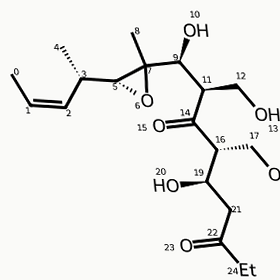 C/C=C\[C@H](C)[C@H]1OC1(C)[C@@H](O)[C@@H](CO)C(=O)[C@H](CO)[C@H](O)CC(=O)CC